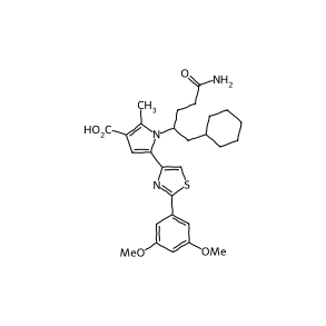 COc1cc(OC)cc(-c2nc(-c3cc(C(=O)O)c(C)n3C(CCC(N)=O)CC3CCCCC3)cs2)c1